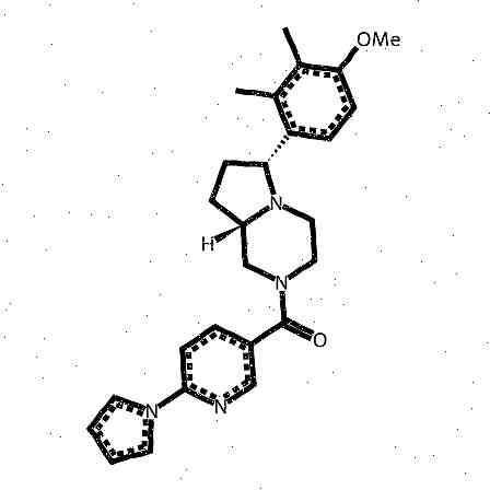 COc1ccc([C@H]2CC[C@H]3CN(C(=O)c4ccc(-n5cccc5)nc4)CCN32)c(C)c1C